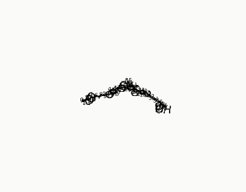 C=CCOOCCCCCCOc1ccc(COOc2ccc(OC(=O)c3ccc(OCCCCCCC(C=C)OO)cc3)cc2C)cc1